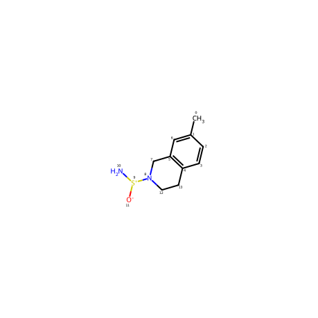 Cc1ccc2c(c1)CN([S+](N)[O-])CC2